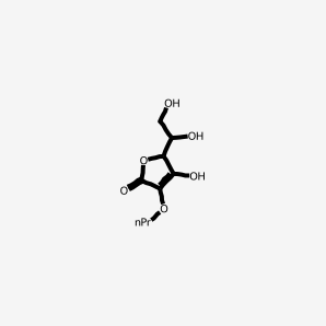 CCCOC1=C(O)C(C(O)CO)OC1=O